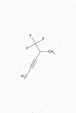 CC#CC(C)C(F)(F)F